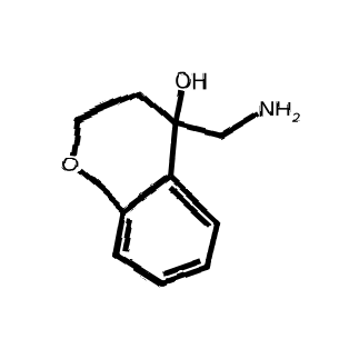 NCC1(O)CCOc2ccccc21